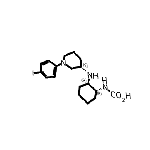 O=C(O)N[C@@H]1CCCC[C@H]1N[C@H]1CCCN(c2ccc(I)cc2)C1